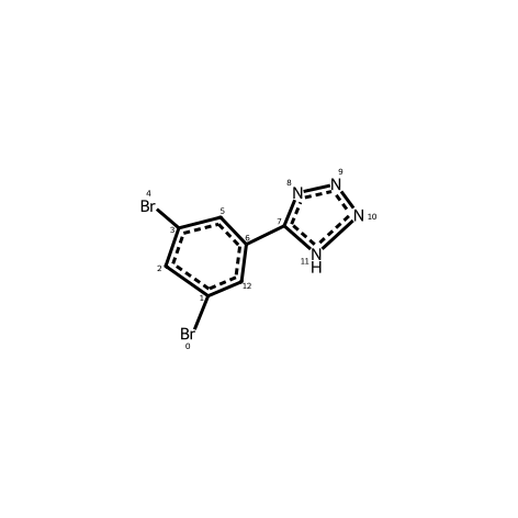 Brc1cc(Br)cc(-c2nnn[nH]2)c1